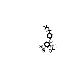 CC(=O)Nc1cc([N+](=O)[O-])ccc1Oc1ccc(C(C)(C)CC(C)(C)C)cc1